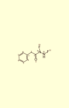 O=C(Cc1ccccc1)N(F)NF